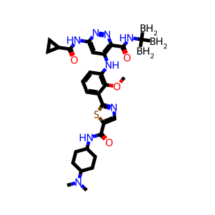 BC(B)(B)NC(=O)c1nnc(NC(=O)C2CC2)cc1Nc1cccc(-c2ncc(C(=O)NC3CCC(N(C)C)CC3)s2)c1OC